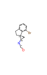 O=C=N[C@@H]1C[C@]12CCc1cccc(Br)c12